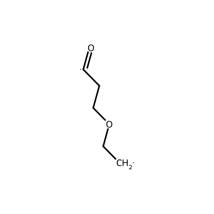 [CH2]COCC[C]=O